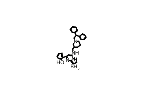 Bc1cnn2c(NCC3CCCN(CC(c4ccccc4)c4ccccc4)C3)cc(-c3ccccc3O)nc12